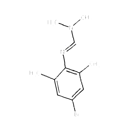 Cc1cc(Br)cc(C)c1/N=C/N(C)C